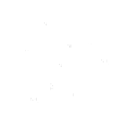 COc1cncc(Nc2nc(NC3CCCCC3N)c(F)cc2C(N)=O)c1